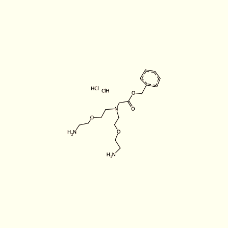 Cl.Cl.NCCOCCN(CCOCCN)CC(=O)OCc1ccccc1